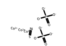 O=P([O-])([O-])[O-].O=P([O-])([O-])[O-].[Co+2].[Co+2].[Co+2].[S]=[Ni]